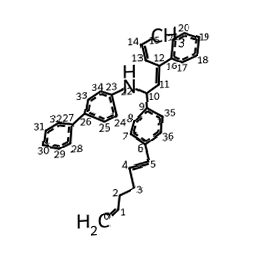 C=CCCC=Cc1ccc(C(/C=C(\C=C/C)c2ccccc2)Nc2ccc(-c3ccccc3)cc2)cc1